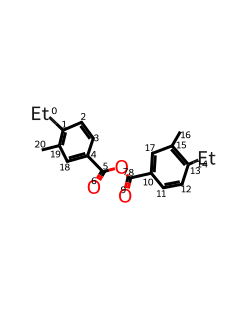 CCc1ccc(C(=O)OC(=O)c2ccc(CC)c(C)c2)cc1C